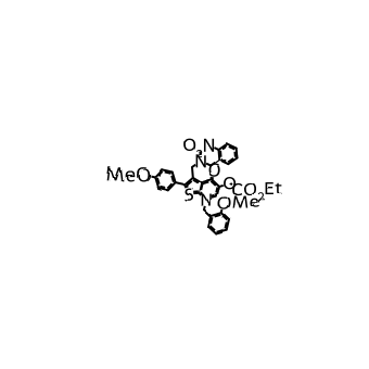 CCOC(=O)Oc1cn(Cc2ccccc2OC)c2sc(-c3ccc(OC)cc3)c(CN(C)Cc3ccccc3[N+](=O)[O-])c2c1=O